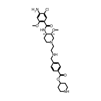 COc1cc(N)c(Cl)cc1C(=O)N[C@@H]1CCN(CCNCc2ccc(C(=O)OC3CCNCC3)cc2)C[C@@H]1OC